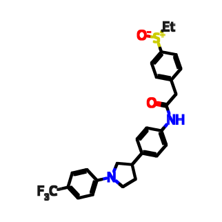 CC[S+]([O-])c1ccc(CC(=O)Nc2ccc(C3CCN(c4ccc(C(F)(F)F)cc4)C3)cc2)cc1